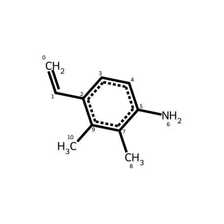 C=Cc1ccc(N)c(C)c1C